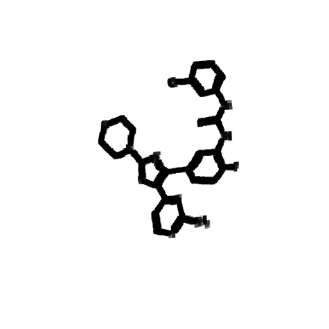 Nc1nccc(-c2nc(N3CCOCC3)sc2-c2ccc(F)c(NC(=O)Nc3cccc(Cl)c3)c2)n1